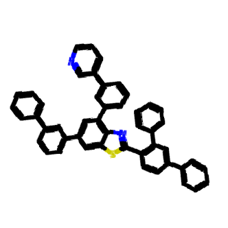 c1ccc(-c2cccc(-c3cc(-c4cccc(-c5cccnc5)c4)c4nc(-c5ccc(-c6ccccc6)cc5-c5ccccc5)sc4c3)c2)cc1